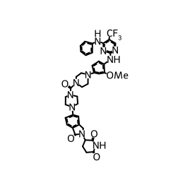 COc1cc(N2CCN(C(=O)N3CCN(c4ccc5c(c4)CN(C4CCC(=O)NC4=O)C5=O)CC3)CC2)ccc1Nc1ncc(C(F)(F)F)c(Nc2ccccc2)n1